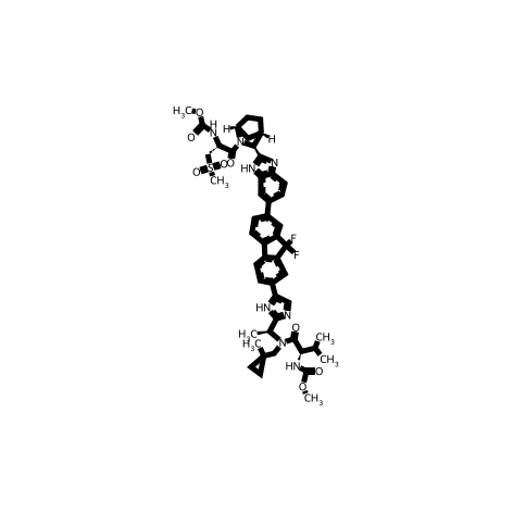 COC(=O)N[C@@H](CS(C)(=O)=O)C(=O)N1[C@@H]2CC[C@@H](C2)[C@H]1c1nc2ccc(-c3ccc4c(c3)C(F)(F)c3cc(-c5cnc([C@H](C)N(CC6(C)CC6)C(=O)[C@@H](NC(=O)OC)C(C)C)[nH]5)ccc3-4)cc2[nH]1